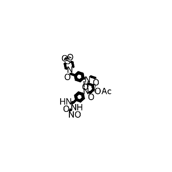 CC(=O)O[C@@H](C(=O)Nc1ccc(C(=N)NC(=O)N=O)cc1)[C@H]1OCCN(c2ccc(C(=O)N3CCS(=O)(=O)CC3)cc2)C1=O